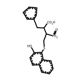 O=[PH2]C(CSc1c(O)ccc2ccccc12)C(Cc1ccccc1)C(=O)O